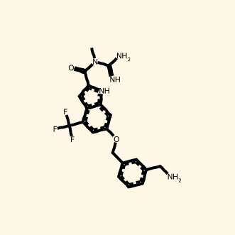 CN(C(=N)N)C(=O)c1cc2c(C(F)(F)F)cc(OCc3cccc(CN)c3)cc2[nH]1